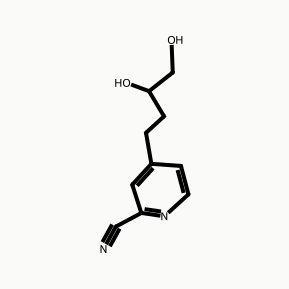 N#Cc1cc(CCC(O)CO)ccn1